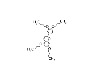 CCCCOc1cc(OCCCC)c2c(c1)OC(c1ccc(OCCCC)c(OCCCC)c1)C=C2